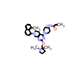 C=CC(=O)NC1CCN(c2nc(OCC3(C)CCCN3C)nc3c2CCN(c2cccc4cccc(C)c24)C3)CC1